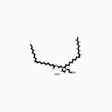 CCCCCCCC/C=C\CCCCCCCC(=O)OCCN1CCN(CCO)C1CCCCCCC/C=C\CCCCCCCC.Cl